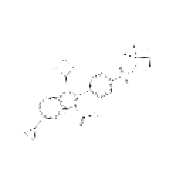 NC(=O)c1c(-c2ccc(S(=O)(=O)NC3(C(F)(F)F)CC3)cc2)n(C2CCC2)c2ncc(C3CC3)cc12